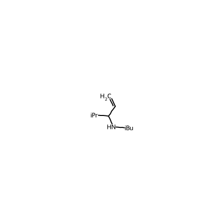 C=CC(NC(C)CC)C(C)C